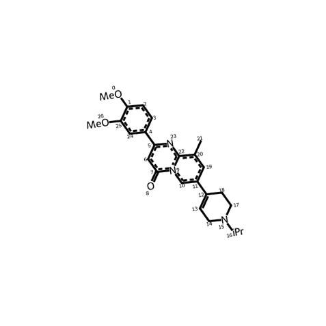 COc1ccc(-c2cc(=O)n3cc(C4=CCN(C(C)C)CC4)cc(C)c3n2)cc1OC